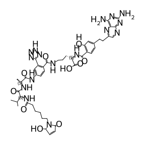 CC(C)[C@H](NC(=O)CCCCCN1C(=O)C=CC1O)C(=O)N[C@@H](C)C(=O)Nc1ccc(C(=O)NCCC[C@H](NC(=O)c2ccc(CCc3cnc4nc(N)nc(N)c4n3)cc2O)C(=O)O)c(-c2nn[nH]n2)c1